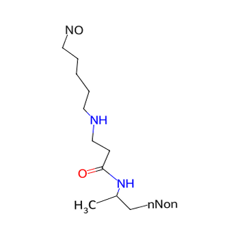 CCCCCCCCCCC(C)NC(=O)CCNCCCCCN=O